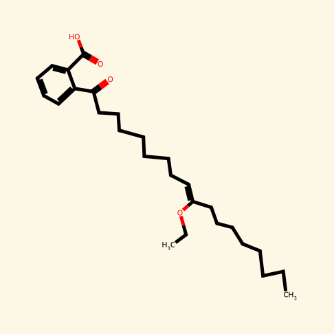 CCCCCCCCC(=CCCCCCCCC(=O)c1ccccc1C(=O)O)OCC